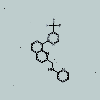 FC(F)(F)c1ccnc(-c2cccc3ccc(CNc4ccccn4)nc23)c1